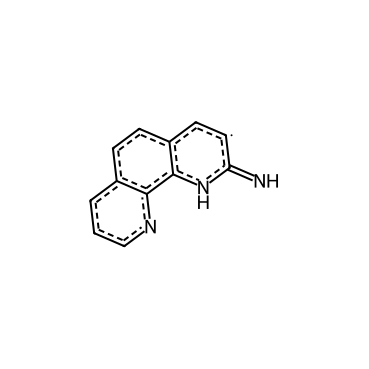 N=c1[c]cc2ccc3cccnc3c2[nH]1